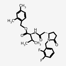 Cc1ccc(COC(=O)[C@@H](NC(=O)C[C@@H]2CCC(=O)N2Cc2cccc(F)c2F)C(C)C)c(C)c1